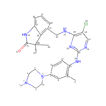 Cc1cc(N2CCN(C)CC2)ccc1Nc1ncc(Cl)c(NCc2cccc3c2C(C)(C)C(=O)N3)n1